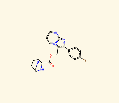 O=C(OCc1c(-c2ccc(Br)cc2)nc2ncccn12)N1CC2CCC1CN2